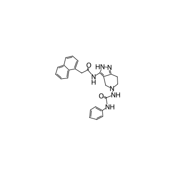 O=C(Cc1cccc2ccccc12)Nc1[nH]nc2c1CN(NC(=O)Nc1ccccc1)CC2